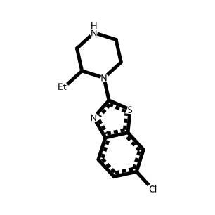 CCC1CNCCN1c1nc2ccc(Cl)cc2s1